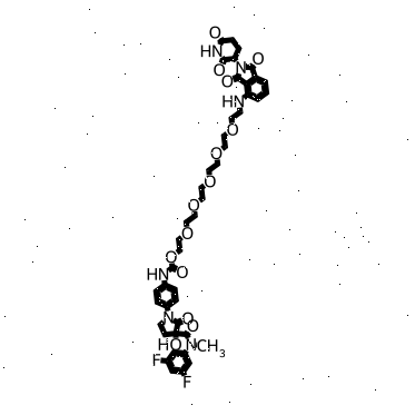 CN(C(=O)C1(O)CCN(c2ccc(NC(=O)OCCOCCOCCOCCOCCOCCNc3cccc4c3C(=O)N(C3CCC(=O)NC3=O)C4=O)cc2)C1=O)c1cc(F)cc(F)c1